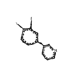 Fc1cc(-c2cccnc2)ccc1I